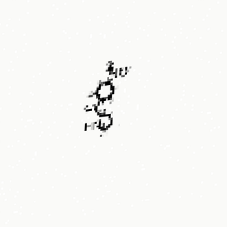 CC(c1ccc([N+](=O)[O-])cc1)C1CCCN1